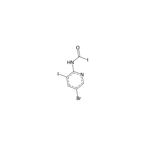 O=C(I)Nc1ncc(Br)cc1I